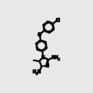 CC1C(N)N=C(N)N1c1ccc(Oc2ccc(Cl)cc2)cc1